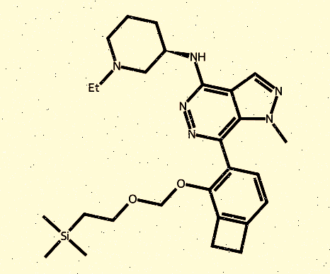 CCN1CCC[C@@H](Nc2nnc(-c3ccc4c(c3OCOCC[Si](C)(C)C)CC4)c3c2cnn3C)C1